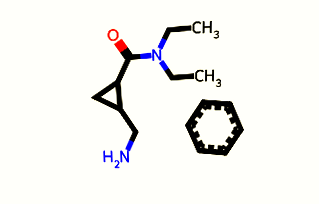 CCN(CC)C(=O)C1CC1CN.c1ccccc1